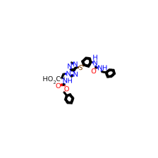 O=C(NCc1ccccc1)Nc1cccc(Sc2ncnc3c2ncn3C[C@H](NC(=O)OCc2ccccc2)C(=O)O)c1